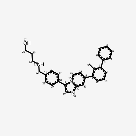 Cc1c(-c2ccccc2)cccc1-c1ccn2c(-c3ccc(CNCCCO)cc3)cnc2c1